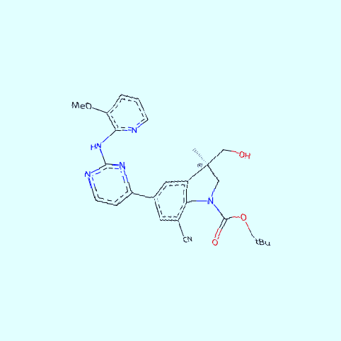 COc1cccnc1Nc1nccc(-c2cc(C#N)c3c(c2)[C@@](C)(CO)CN3C(=O)OC(C)(C)C)n1